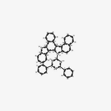 c1ccc(-c2nc(-c3ccccc3)nc(-n3c4ccc5ccccc5c4c4c5ccccc5c5sc6ccccc6c5c43)n2)cc1